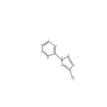 Clc1cnn(-c2ccccn2)c1